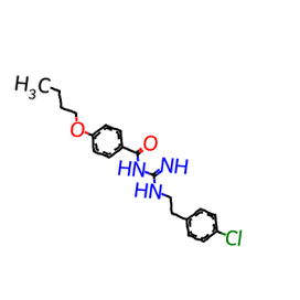 CCCCOc1ccc(C(=O)NC(=N)NCCc2ccc(Cl)cc2)cc1